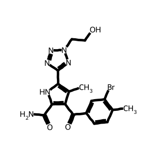 Cc1ccc(C(=O)c2c(C(N)=O)[nH]c(-c3nnn(CCO)n3)c2C)cc1Br